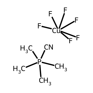 CP(C)(C)(C)C#N.[F][Cu]([F])([F])([F])([F])[F]